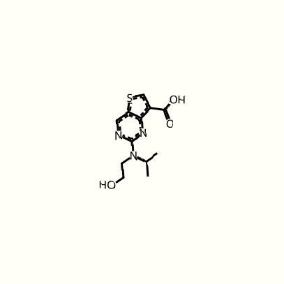 CC(C)N(CCO)c1ncc2scc(C(=O)O)c2n1